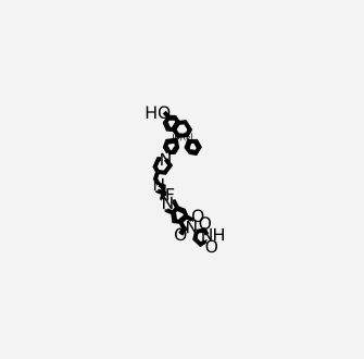 O=C1CCC(N2C(=O)c3cc4c(cc3C2=O)CN(CC2(F)CN(CC3CCN(c5ccc([C@@H]6c7ccc(O)cc7CC[C@@H]6c6ccccc6)cc5)CC3)C2)C4)C(=O)N1